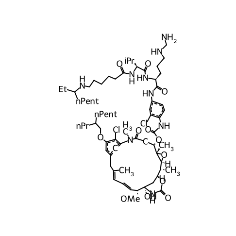 CCCCCC(CCC)COc1cc2cc(c1Cl)N(C)C(=O)C[C@H](OC(=O)Nc1ccc(NC(=O)[C@H](CCCNCN)NC(=O)[C@@H](NC(=O)CCCCCNC(CC)CCCCC)C(C)C)cc1Cl)[C@]1(C)O[C@H]1[C@H](C)[C@@H]1C[C@@](O)(NC(=O)O1)[C@H](OC)/C=C/C=C(\C)C2